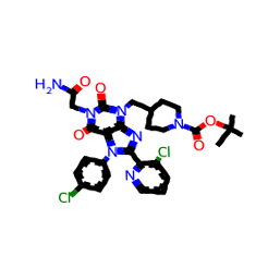 CC(C)(C)OC(=O)N1CCC(Cn2c(=O)n(CC(N)=O)c(=O)c3c2nc(-c2ncccc2Cl)n3-c2ccc(Cl)cc2)CC1